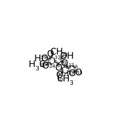 COc1cc(C2Oc3c(OC)cc4oc(=O)ccc4c3OC2CO)cc(OC)c1O